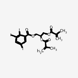 C=C(C)C(=O)OCC(COC(=O)c1cc(I)cc(I)c1I)OC(=O)C(=C)C